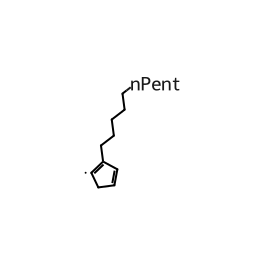 CCCCCCCCCCC1=[C]CC=C1